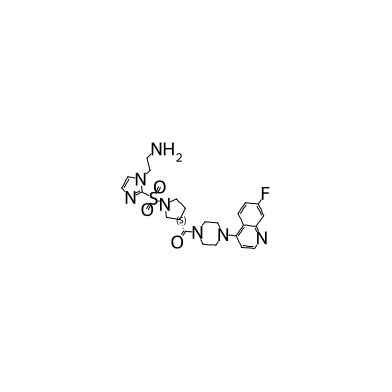 NCCn1ccnc1S(=O)(=O)N1CC[C@H](C(=O)N2CCN(c3ccnc4cc(F)ccc34)CC2)C1